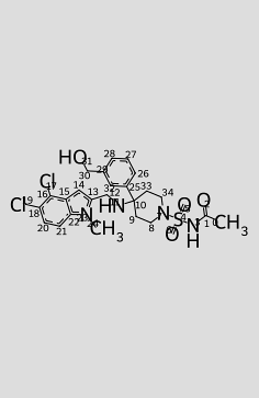 CC(=O)NS(=O)(=O)N1CCC(NCc2cc3c(Cl)c(Cl)ccc3n2C)(c2cccc(CO)c2)CC1